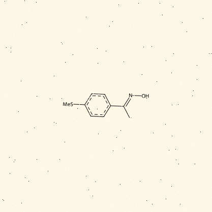 [CH2]C(=NO)c1ccc(SC)cc1